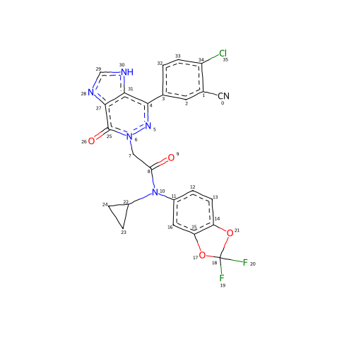 N#Cc1cc(-c2nn(CC(=O)N(c3ccc4c(c3)OC(F)(F)O4)C3CC3)c(=O)c3nc[nH]c23)ccc1Cl